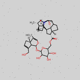 C[C@@H]1CN2C3O[C@]45[C@@H]6CC[C@@H]4[C@H](C(=O)OCC4OC(O[C@@H]7OC=C(C(=O)O)[C@H]8CC=C(CO)C78)C(O)C(O)C4O)CC54[C@@H]2[C@@H]1CC[C@@]4(C)[C@@H]3CC6